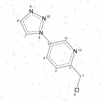 ClCc1ccc(-n2ccnn2)cn1